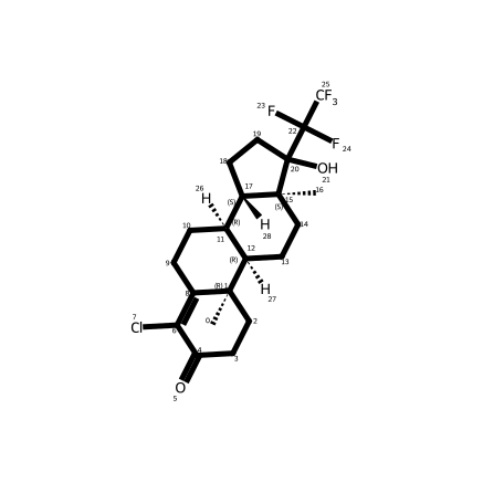 C[C@]12CCC(=O)C(Cl)=C1CC[C@@H]1[C@H]2CC[C@@]2(C)[C@H]1CCC2(O)C(F)(F)C(F)(F)F